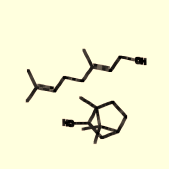 CC(C)=CCC/C(C)=C/CO.CC1(C)C2CCC1(C)C(O)C2